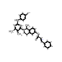 Cc1nc(Nc2ccc(F)cc2)nc(N2CCc3cc(OC(=O)/C=C/c4ccccc4)ccc3C2C)c1C